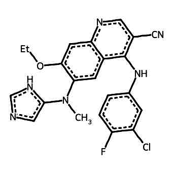 CCOc1cc2ncc(C#N)c(Nc3ccc(F)c(Cl)c3)c2cc1N(C)c1cnc[nH]1